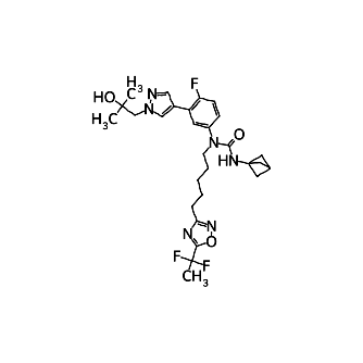 CC(C)(O)Cn1cc(-c2cc(N(CCCCCc3noc(C(C)(F)F)n3)C(=O)NC34CC(C3)C4)ccc2F)cn1